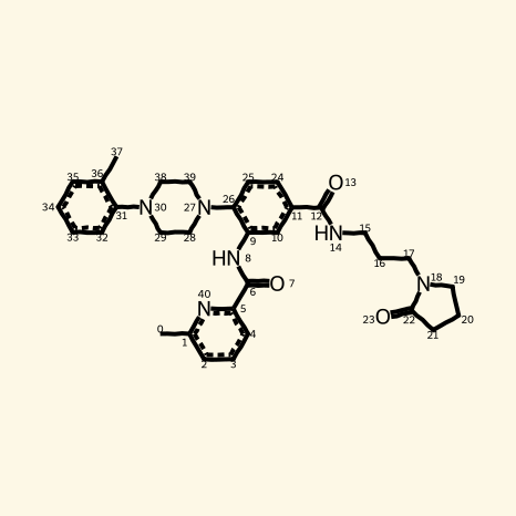 Cc1cccc(C(=O)Nc2cc(C(=O)NCCCN3CCCC3=O)ccc2N2CCN(c3ccccc3C)CC2)n1